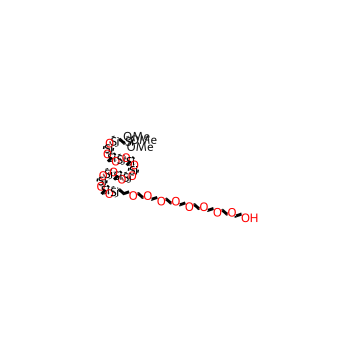 CO[Si](CC[Si](C)(C)O[Si](C)(C)O[Si](C)(C)O[Si](C)(C)O[Si](C)(C)O[Si](C)(C)O[Si](C)(C)O[Si](C)(C)O[Si](C)(C)O[Si](C)(C)O[Si](C)(C)O[Si](C)(C)CCCOCCOCCOCCOCCOCCOCCOCCOCCO)(OC)OC